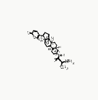 CC(N)C(=O)N[C@H]1CC[C@@]2(C)[C@H](CC[C@@H]3[C@@H]2CC[C@]2(C)[C@@H](c4ccc(=O)oc4)CC[C@]32O)C1